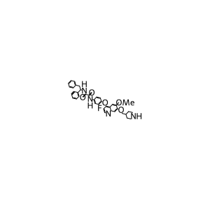 COc1cc2c(Oc3ccc(NC(=O)C(=O)NC(Cc4ccccc4)c4c#cccc4)cc3F)ccnc2cc1OCC1CCNCC1